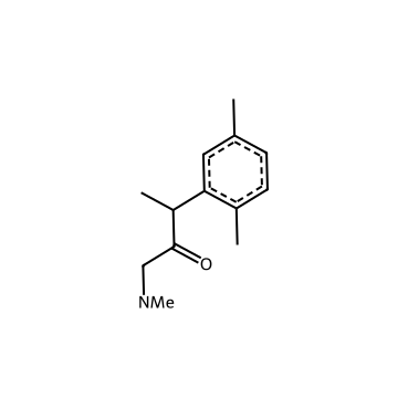 CNCC(=O)C(C)c1cc(C)ccc1C